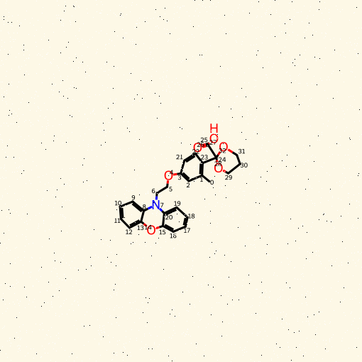 Cc1cc(OCCN2c3ccccc3Oc3ccccc32)ccc1C1(C(=O)O)OCCCO1